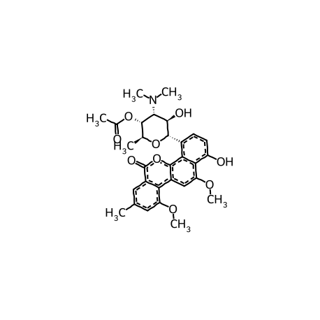 COc1cc2c(oc(=O)c3cc(C)cc(OC)c32)c2c([C@@H]3O[C@@H](C)[C@H](OC(C)=O)[C@H](N(C)C)[C@H]3O)ccc(O)c12